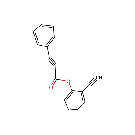 C#Cc1ccccc1OC(=O)C#Cc1ccccc1